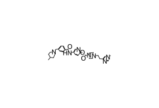 CC1CCN(Cc2ccc(C(=O)Nc3ccc(OC(=O)N4CCN(CCc5cn(C)cn5)CC4)nc3)cc2)CC1